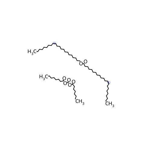 CCCCCCCC(=O)OC(=O)OC(=O)CCCCCCC.CCCCCCCC/C=C\CCCCCCCCCCCCOC(=O)CCCCCCCCCCC/C=C\CCCCCCCC